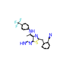 C/C(Nc1ccc(C(F)(F)F)cc1)=C1/N=C(Cc2ccccc2C#N)S/C1=N/C=N